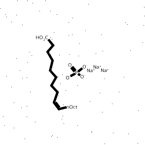 CCCCCCCC/C=C\CCCCCCCC(=O)O.O=P([O-])([O-])[O-].[Na+].[Na+].[Na+]